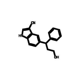 N#Cc1c[nH]c2ccc(C(CCO)c3ccccc3)cc12